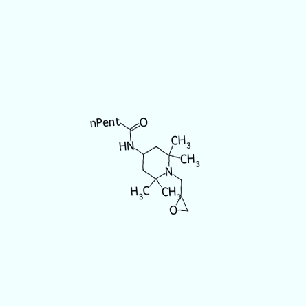 CCCCCC(=O)NC1CC(C)(C)N(CC2CO2)C(C)(C)C1